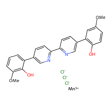 COc1ccc(O)c(-c2ccc(-c3ccc(-c4cccc(OC)c4O)cn3)nc2)c1.[Cl-].[Cl-].[Cl-].[Mn+3]